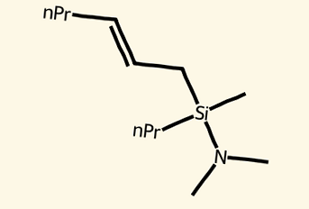 CCCC=CC[Si](C)(CCC)N(C)C